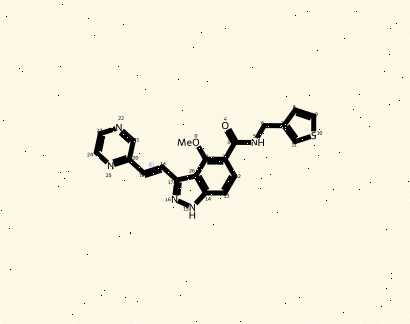 COc1c(C(=O)NCc2ccsc2)ccc2[nH]nc(/C=C/c3cnccn3)c12